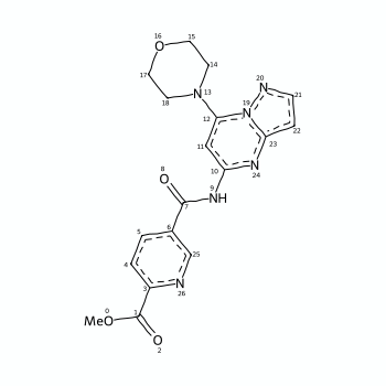 COC(=O)c1ccc(C(=O)Nc2cc(N3CCOCC3)n3nccc3n2)cn1